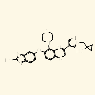 Cc1nc2ccc(Oc3ccc4ncc(-c5cnn(CC6(O)CC6)c5)nc4c3N3CCOCC3)cc2[nH]1